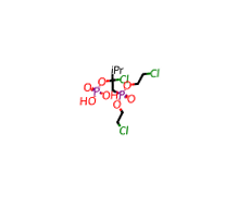 CC(C)C(Cl)(CP(=O)(OCCCl)OCCCl)OP(=O)(O)O